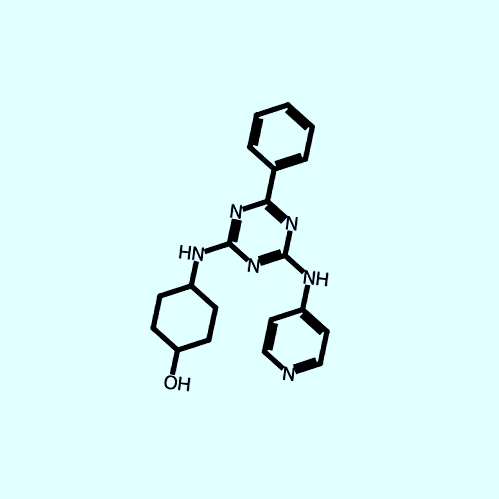 OC1CCC(Nc2nc(Nc3ccncc3)nc(-c3ccccc3)n2)CC1